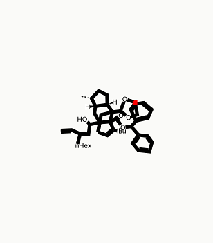 C=CC(CCCCCC)CC(O)C12C[C@@H]3[C@H](C)CC[C@H]3C3(C4OCCO4)CC1C=C(C(C)CC)C23C(=O)OC(c1ccccc1)c1ccccc1